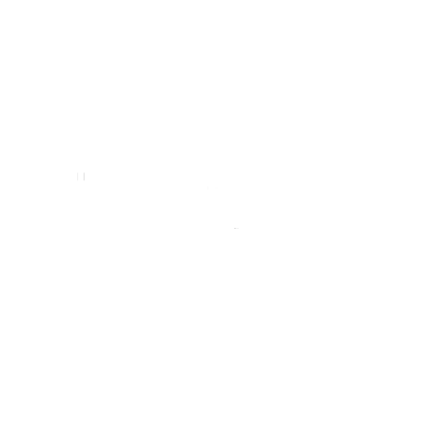 O=C(OCc1ccccc1)C(O)Cc1ccc(O)c(O)c1